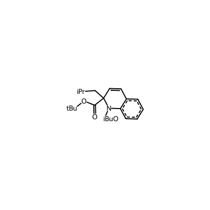 CC(C)CON1c2ccccc2C=CC1(CC(C)C)C(=O)OC(C)(C)C